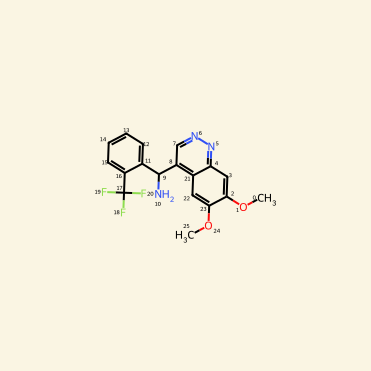 COc1cc2nncc(C(N)c3ccccc3C(F)(F)F)c2cc1OC